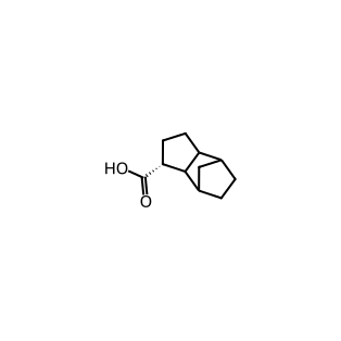 O=C(O)[C@@H]1CCC2C3CCC(C3)C21